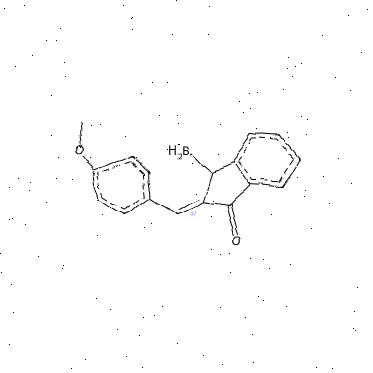 BC1/C(=C\c2ccc(OC)cc2)C(=O)c2ccccc21